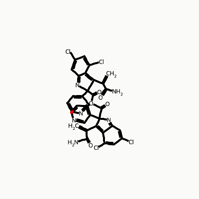 C=C(C(N)=O)C1=c2c(Cl)cc(Cl)cc2=NC1(C(=O)OC(=O)C1(c2cccnc2)N=c2cc(Cl)cc(Cl)c2=C1C(=C)C(N)=O)c1cccnc1